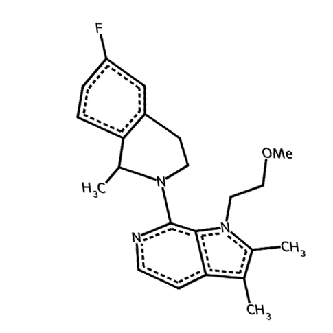 COCCn1c(C)c(C)c2ccnc(N3CCc4cc(F)ccc4C3C)c21